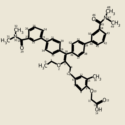 CCOC(CSc1ccc(OCC(=O)O)c(C)c1)=C(c1ccc(-c2cccc(C(=O)N(C)C)c2)cc1)c1ccc(-c2cccc(C(=O)N(C)C)c2)cc1